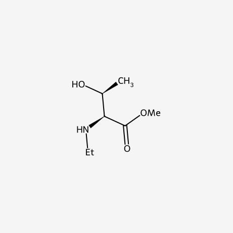 CCN[C@H](C(=O)OC)[C@H](C)O